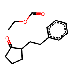 CCOC=O.O=C1CCCC1CCc1ccccc1